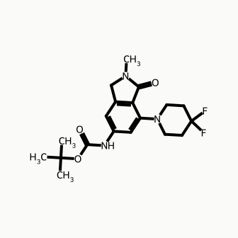 CN1Cc2cc(NC(=O)OC(C)(C)C)cc(N3CCC(F)(F)CC3)c2C1=O